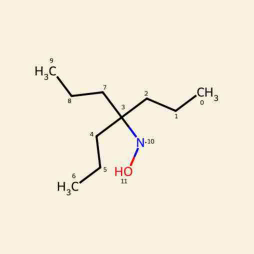 CCCC(CCC)(CCC)[N]O